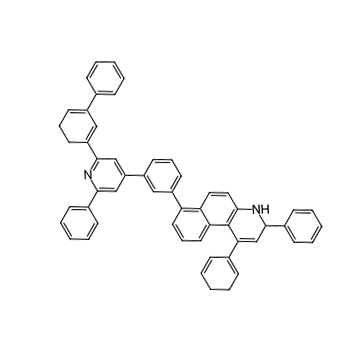 C1=CC(C2=CC(c3ccccc3)Nc3ccc4c(-c5cccc(-c6cc(C7=CC(c8ccccc8)=CCC7)nc(-c7ccccc7)c6)c5)cccc4c32)=CCC1